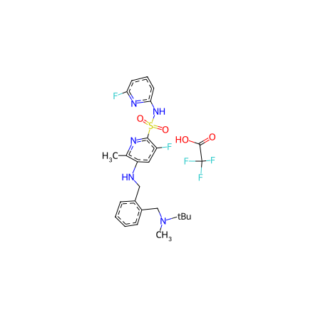 Cc1nc(S(=O)(=O)Nc2cccc(F)n2)c(F)cc1NCc1ccccc1CN(C)C(C)(C)C.O=C(O)C(F)(F)F